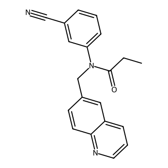 CCC(=O)N(Cc1ccc2ncccc2c1)c1cccc(C#N)c1